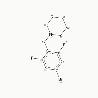 Fc1cc(Br)cc(F)c1CN1CCCCC1